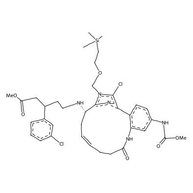 COC(=O)CC(CCN[C@H]1CC=CCCC(=O)Nc2cc(NC(=O)OC)ccc2-c2nc1n(COCC[Si](C)(C)C)c2Cl)c1cccc(Cl)c1